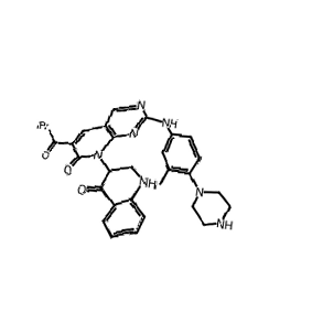 Cc1cc(Nc2ncc3cc(C(=O)C(C)C)c(=O)n(C4CNc5ccccc5C4=O)c3n2)ccc1N1CCNCC1